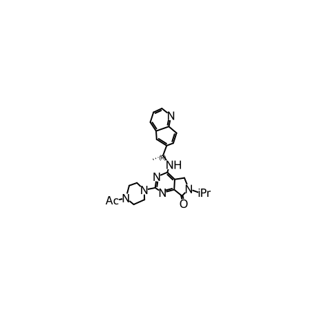 CC(=O)N1CCN(c2nc(N[C@H](C)c3ccc4ncccc4c3)c3c(n2)C(=O)N(C(C)C)C3)CC1